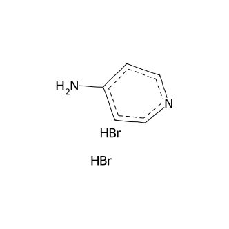 Br.Br.Nc1ccncc1